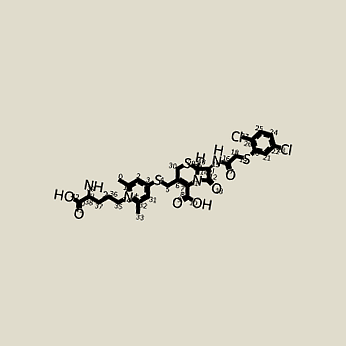 Cc1cc(SCC2=C(C(=O)O)N3C(=O)[C@H](NC(=O)CSc4cc(Cl)ccc4Cl)[C@H]3SC2)cc(C)[n+]1CCC[C@H](N)C(=O)O